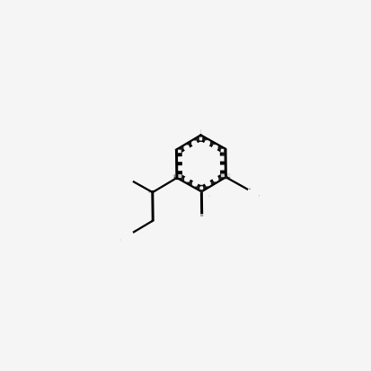 [CH2]C(CF)c1cccc(I)c1F